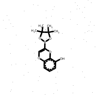 CC1(C)OB(C2=COc3cccc(O)c3O2)OC1(C)C